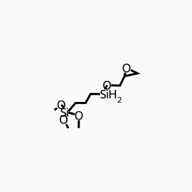 CO[Si](CCC[SiH2]OCC1CO1)(OC)OC